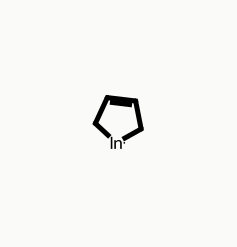 C1=C[CH2][In][CH2]1